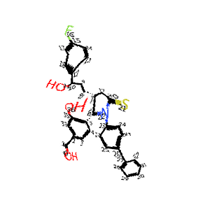 OCc1ccc([C@@H]2[C@H](CCC(O)c3ccc(F)cc3)CC(=S)N2c2ccc(-c3ccccc3)cc2)c(O)c1